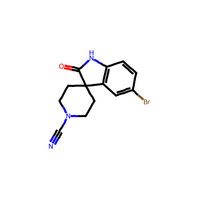 N#CN1CCC2(CC1)C(=O)Nc1ccc(Br)cc12